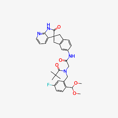 COC(OC)c1ccc(F)cc1CN(CC(=O)Nc1ccc2c(c1)CC1(C2)C(=O)Nc2ncccc21)C(=O)C(C)(C)C